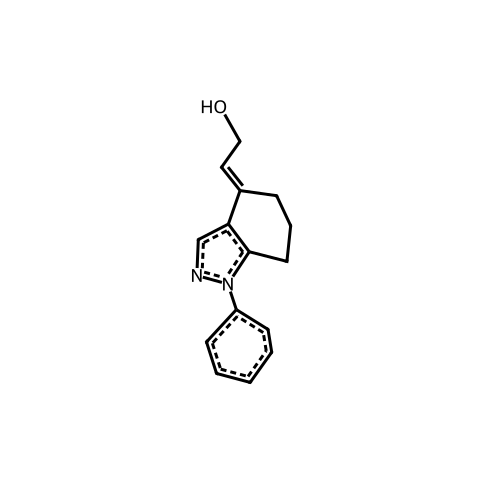 OCC=C1CCCc2c1cnn2-c1ccccc1